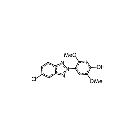 COc1cc(-n2nc3ccc(Cl)cc3n2)c(OC)cc1O